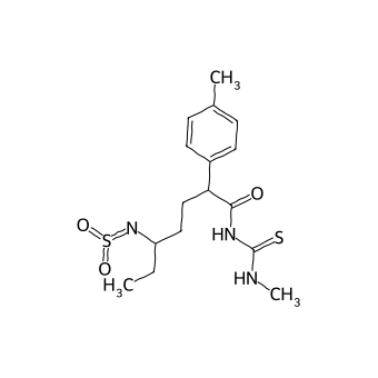 CCC(CCC(C(=O)NC(=S)NC)c1ccc(C)cc1)N=S(=O)=O